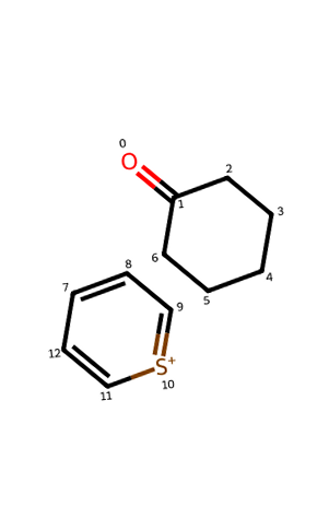 O=C1CCCCC1.c1cc[s+]cc1